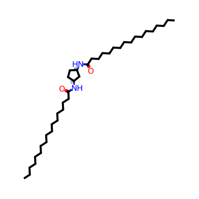 CCCCCCCCCCCCCCCCC(=O)N[C@@H]1CC[C@H](NC(=O)CCCCCCCCCCCCCCCC)C1